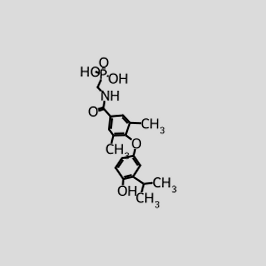 Cc1cc(C(=O)NCP(=O)(O)O)cc(C)c1Oc1ccc(O)c(C(C)C)c1